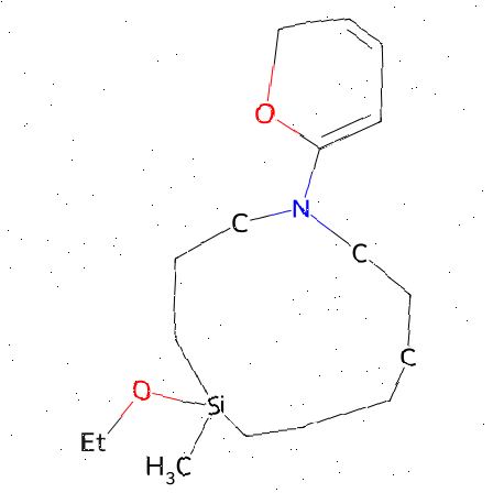 CCO[Si]1(C)CCCCCCN(C2=CC=CCO2)CCC1